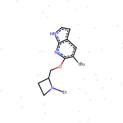 CCN1CCC1COc1nc2[nH]ccc2cc1C(C)(C)C